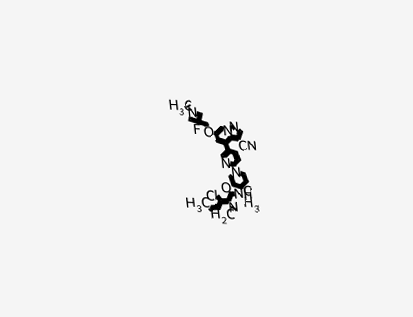 C=N/C(C(=O)NC1(C)CCN(c2ccc(-c3cc(OCC4(F)CN(C)C4)cn4ncc(C#N)c34)cn2)CC1)=C(Cl)\C=C/C